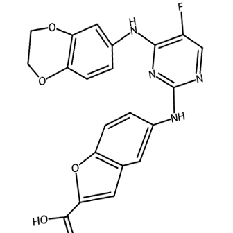 O=C(O)c1cc2cc(Nc3ncc(F)c(Nc4ccc5c(c4)OCCO5)n3)ccc2o1